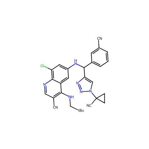 CC(C)(C)CNc1c(C#N)cnc2c(Cl)cc(NC(c3cccc(C#N)c3)c3cn(C4(C#N)CC4)nn3)cc12